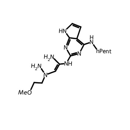 CCCCCNc1nc(N/C(N)=C/N(N)CCOC)nc2[nH]ccc12